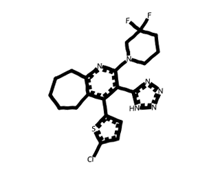 FC1(F)CCCN(c2nc3c(c(-c4ccc(Cl)s4)c2-c2nnn[nH]2)CCCCC3)C1